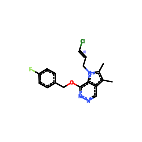 Cc1c(C)n(C/C=C/Cl)c2c(OCc3ccc(F)cc3)nncc12